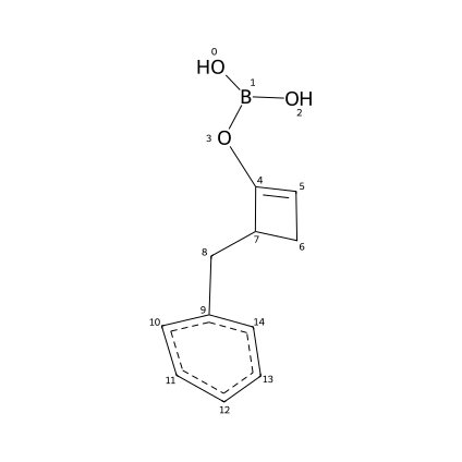 OB(O)OC1=CCC1Cc1ccccc1